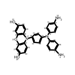 Nc1ccc(N(c2ccc(N)cc2)c2ccc(N3c4ccc(O)cc4Oc4cc(O)ccc43)cc2)cc1